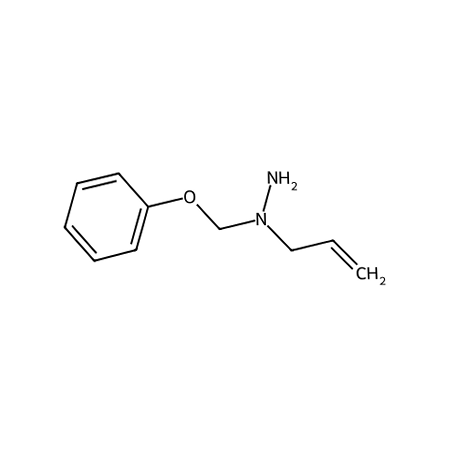 C=CCN(N)COc1ccccc1